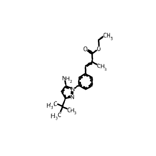 CCOC(=O)/C(C)=C/c1cccc(-n2nc(C(C)(C)C)cc2N)c1